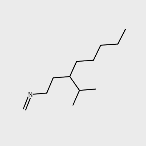 C=NCCC(CCCCC)C(C)C